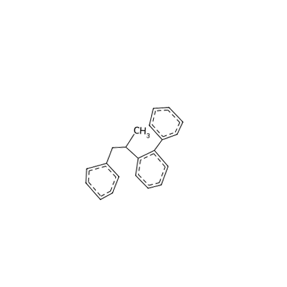 CC(Cc1ccccc1)c1ccccc1-c1ccccc1